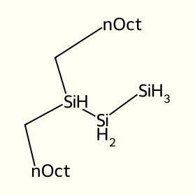 CCCCCCCCC[SiH](CCCCCCCCC)[SiH2][SiH3]